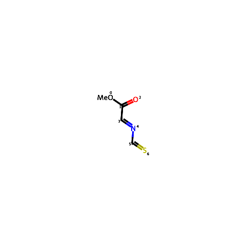 COC(=O)C=N[C]=S